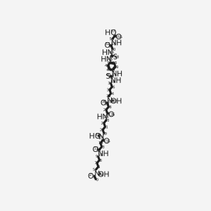 CC(=O)N(O)CCCCCNC(=O)CCC(=O)N(O)CCCCCNC(=O)CCC(=O)N(O)CCCCCNC(=S)Nc1ccc(NC(=S)NCC(=O)NCC(=O)O)cc1